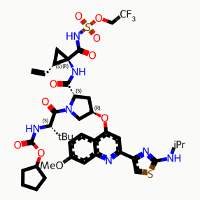 C=C[C@@H]1C[C@]1(NC(=O)[C@@H]1C[C@@H](Oc2cc(-c3csc(NC(C)C)n3)nc3cc(OC)ccc23)CN1C(=O)[C@@H](NC(=O)OC1CCCC1)C(C)(C)C)C(=O)NS(=O)(=O)OCC(F)(F)F